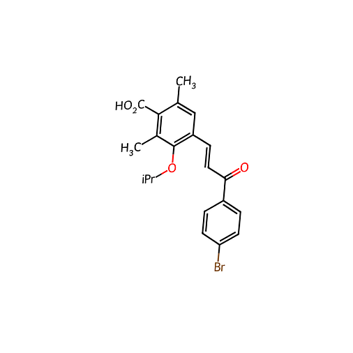 Cc1cc(/C=C/C(=O)c2ccc(Br)cc2)c(OC(C)C)c(C)c1C(=O)O